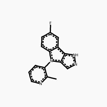 Cc1ncccc1-n1c2ccc(F)cc2c2[nH]ncc21